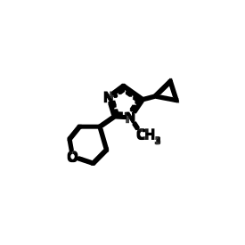 Cn1c(C2CC2)cnc1C1CCOCC1